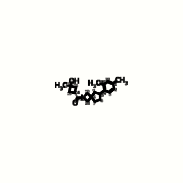 Cc1ccc(C2CCC3(C2)CN(C(=O)[C@H]2C[C@@](C)(O)C2)C3)c(C)c1